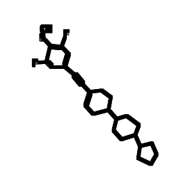 N#CSc1c(F)cc(C#CC2=CCC(C3CCC(C4CCCC4)CC3)CC2)cc1F